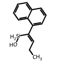 CCC=C([SiH2]O)c1cccc2ccccc12